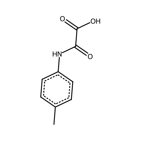 Cc1ccc(NC(=O)C(=O)O)cc1